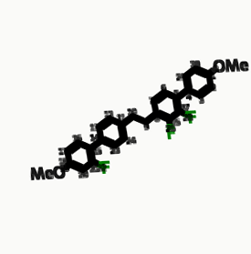 COc1ccc(-c2ccc(CCc3ccc(-c4ccc(OC)cc4F)cc3)c(F)c2F)cc1